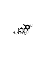 Cc1cc(Cl)cc(Cl)c1-n1cnc(N)nc1=O